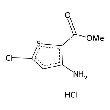 COC(=O)c1sc(Cl)cc1N.Cl